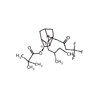 CCC(C)CN1C2CC3CC1[C@H](OC(=O)C(C)(C)C)C2N(C(=O)CC(F)(F)F)C3